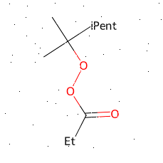 CCCC(C)C(C)(C)OOC(=O)CC